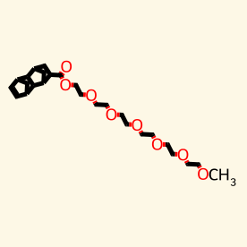 COCCOCCOCCOCCOCCOCCOC(=O)C1CC2CC1C1C3C=CC(C3)C21